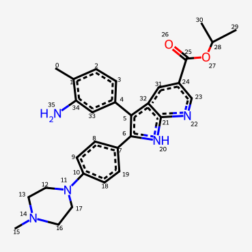 Cc1ccc(-c2c(-c3ccc(N4CCN(C)CC4)cc3)[nH]c3ncc(C(=O)OC(C)C)cc23)cc1N